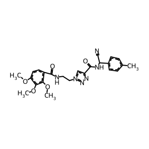 COc1ccc(C(=O)NCCn2cc(C(=O)NC(C#N)c3ccc(C)cc3)nn2)c(OC)c1OC